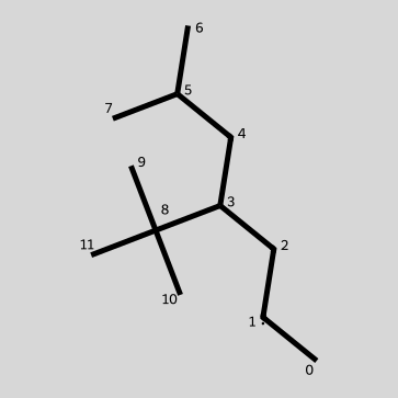 C[CH]CC(CC(C)C)C(C)(C)C